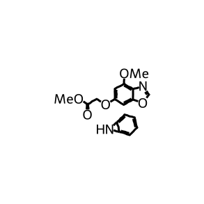 COC(=O)COc1cc(OC)c2ncoc2c1.c1ccc2c(c1)N2